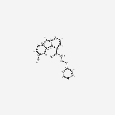 O=C(NOCc1cccnc1)c1cccc2oc3ccc(Br)cc3c12